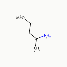 COCC[C](C)N